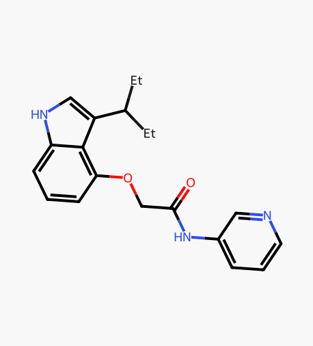 CCC(CC)c1c[nH]c2cccc(OCC(=O)Nc3cccnc3)c12